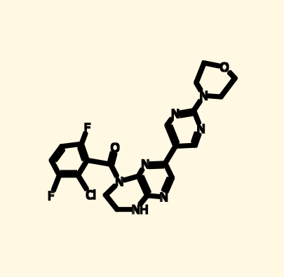 O=C(c1c(F)ccc(F)c1Cl)N1CCNc2ncc(-c3cnc(N4CCOCC4)nc3)nc21